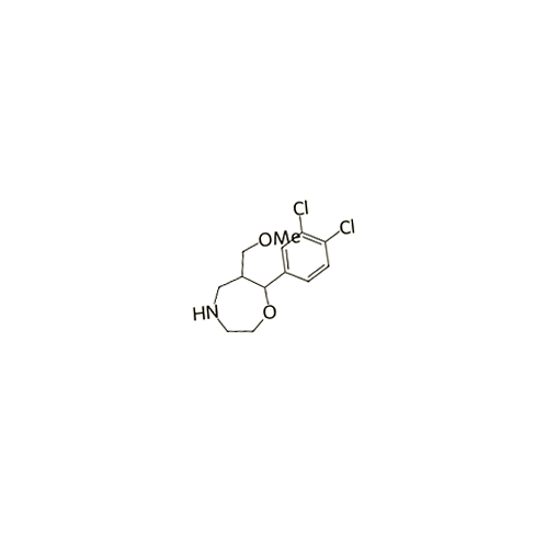 COCC1CNCCOC1c1ccc(Cl)c(Cl)c1